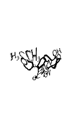 CC1(C)C[C@@H](c2ccc3c(c2)cc(C(=O)O)n3C2(C3=NOC(=C=O)N3)CC23CC3)CCO1